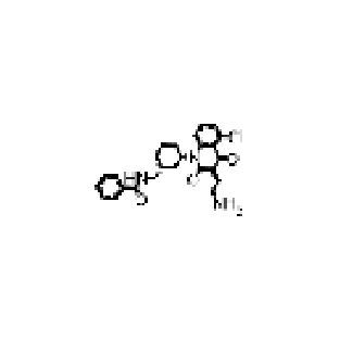 NCC=C1C(=O)c2c(Cl)cccc2N([C@H]2CCC[C@@H](CNC(=O)c3ccccc3)C2)C1=O